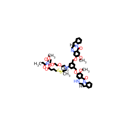 CCC(=O)N(C=O)OC(=O)CCCSSC(C)(C)CN(CCOCCOCCOC)c1cc(COc2cc3c(cc2OC)C(=O)N2c4ccccc4C[C@H]2C=N3)cc(COc2cc3c(cc2OC)C(=O)N2c4ccccc4C[C@H]2CN3)c1